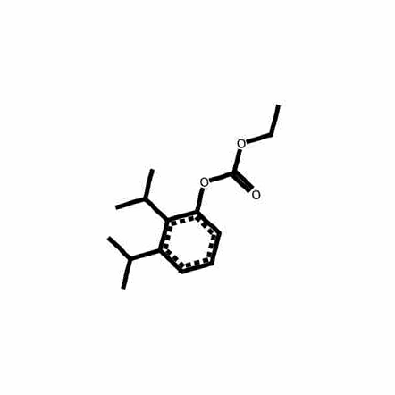 CCOC(=O)Oc1cc[c]c(C(C)C)c1C(C)C